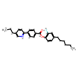 CCCCCCc1ccc(OC(=O)c2ccc(-c3ccc(CCC)cn3)cc2)c(F)c1